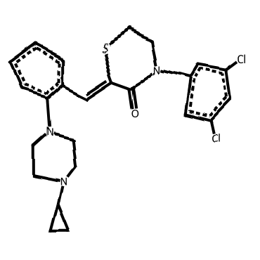 O=C1C(=Cc2ccccc2N2CCN(C3CC3)CC2)SCCN1c1cc(Cl)cc(Cl)c1